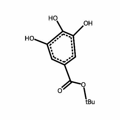 CC(C)(C)OC(=O)c1cc(O)c(O)c(O)c1